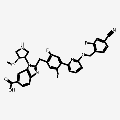 CO[C@H]1CNCC1n1c(Cc2cc(F)c(-c3cccc(OCc4ccc(C#N)cc4F)n3)cc2F)nc2ccc(C(=O)O)cc21